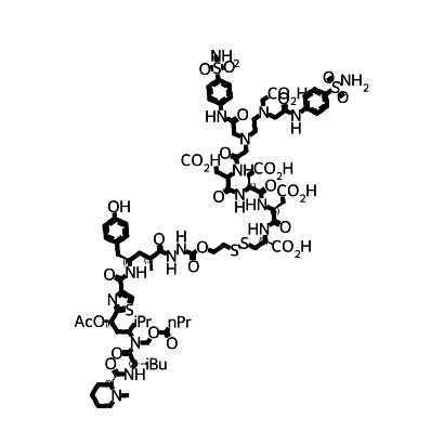 CCCC(=O)OCN(C(=O)[C@@H](NC(=O)[C@H]1CCCCN1C)C(C)CC)C(C[C@@H](OC(C)=O)c1nc(C(=O)N[C@@H](Cc2ccc(O)cc2)C[C@H](C)C(=O)NNC(=O)OCCSSC[C@H](NC(=O)[C@H](CC(=O)O)NC(=O)[C@H](CC(=O)O)NC(=O)C(CC(=O)O)NC(=O)CN(CCN(CC(=O)O)CC(=O)Nc2ccc(S(N)(=O)=O)cc2)CC(=O)Nc2ccc(S(N)(=O)=O)cc2)C(=O)O)cs1)C(C)C